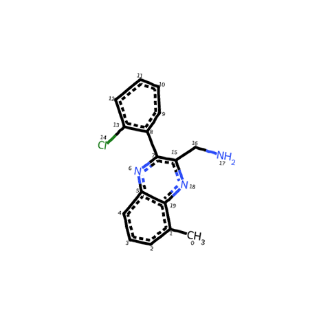 Cc1cccc2nc(-c3ccccc3Cl)c(CN)nc12